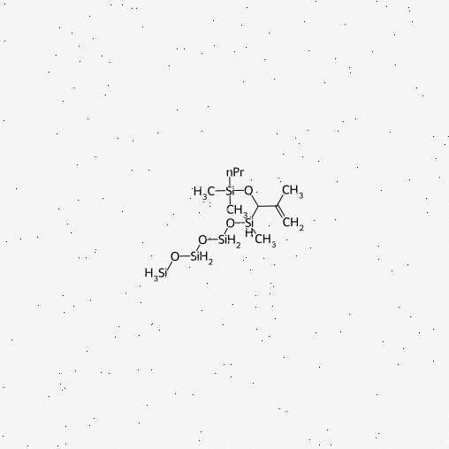 C=C(C)C(O[Si](C)(C)CCC)[SiH](C)O[SiH2]O[SiH2]O[SiH3]